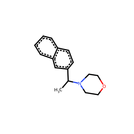 CC(c1ccc2c[c]ccc2c1)N1CCOCC1